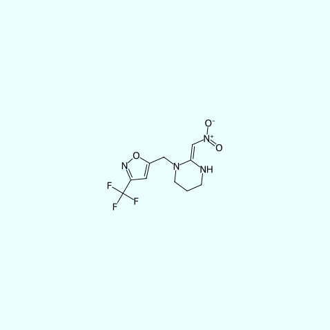 O=[N+]([O-])C=C1NCCCN1Cc1cc(C(F)(F)F)no1